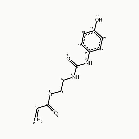 C=CC(=O)OCCNC(=O)Nc1ccc(O)cc1